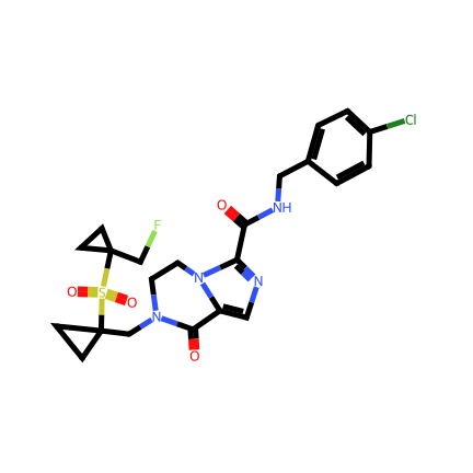 O=C(NCc1ccc(Cl)cc1)c1ncc2n1CCN(CC1(S(=O)(=O)C3(CF)CC3)CC1)C2=O